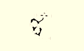 O=C(O)c1cn2c(CP(=O)(O)O)ccnc2n1